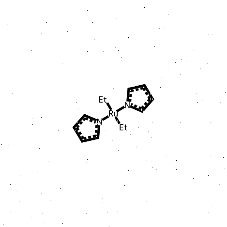 C[CH2][Ru]([CH2]C)([n]1cccc1)[n]1cccc1